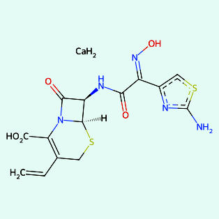 C=CC1=C(C(=O)O)N2C(=O)[C@@H](NC(=O)C(=NO)c3csc(N)n3)[C@H]2SC1.[CaH2]